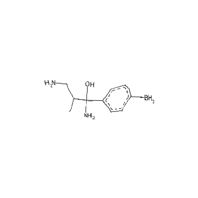 Bc1ccc(C(N)(O)C(C)CN)cc1